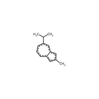 Cc1cc2cccc(C(C)C)cc-2c1